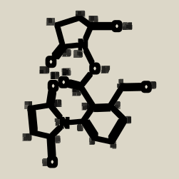 O=[C]c1cccc(N2C(=O)C=CC2=O)c1C(=O)ON1C(=O)CCC1=O